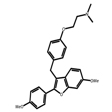 COc1ccc(-c2oc3cc(OC)ccc3c2Cc2ccc(OCCN(C)C)cc2)cc1